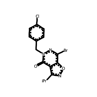 CC(C)c1noc2c(Br)nn(Cc3ccc(Cl)cc3)c(=O)c12